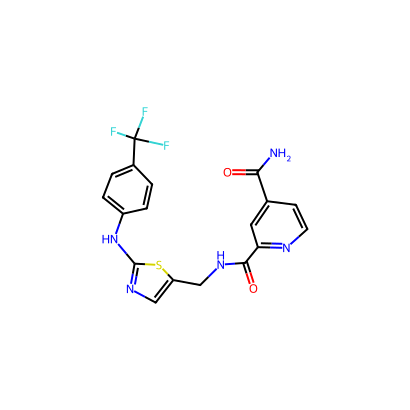 NC(=O)c1ccnc(C(=O)NCc2cnc(Nc3ccc(C(F)(F)F)cc3)s2)c1